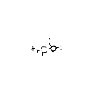 COCc1cc([N+](=O)[O-])ccc1N1CCN(C(=O)OC(C)(C)C)C(C)C1